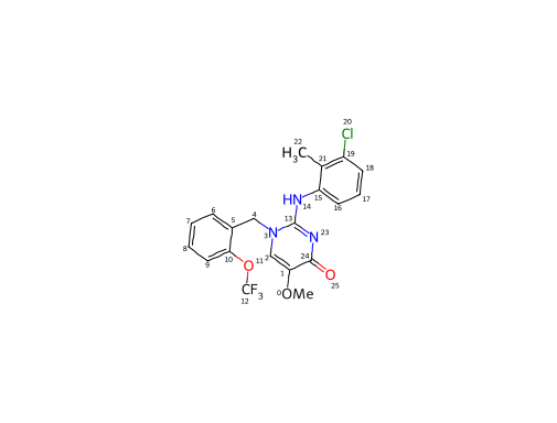 COc1cn(Cc2ccccc2OC(F)(F)F)c(Nc2cccc(Cl)c2C)nc1=O